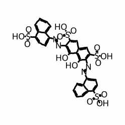 O=S(=O)(O)c1cc2cc(S(=O)(=O)O)c(N=Nc3ccc(S(=O)(=O)O)c4ccccc34)c(O)c2c(O)c1N=Nc1ccc(S(=O)(=O)O)c2ccccc12